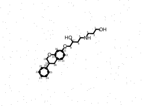 OCCCNCCC(O)COc1ccc2c(c1)OCC(c1ccccc1)C2